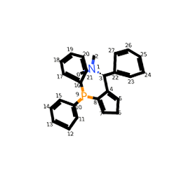 CN(C)[C@@H](C1=CCC=C1P(c1ccccc1)c1ccccc1)c1ccccc1